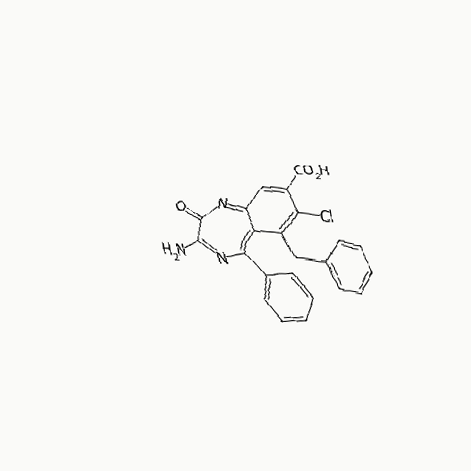 Nc1nc(-c2ccccc2)c2c(Cc3ccccc3)c(Cl)c(C(=O)O)cc2nc1=O